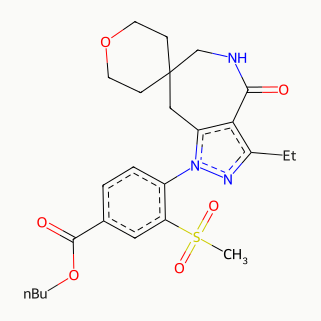 CCCCOC(=O)c1ccc(-n2nc(CC)c3c2CC2(CCOCC2)CNC3=O)c(S(C)(=O)=O)c1